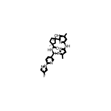 Cc1cc(Nc2cc(C)[nH]n2)nc([C@@]2(O)CC[C@](C)(C(=O)N[C@@H](C)c3ccc(-n4cc(F)cn4)nc3)C2)c1